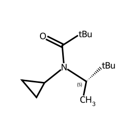 C[C@H](N(C(=O)C(C)(C)C)C1CC1)C(C)(C)C